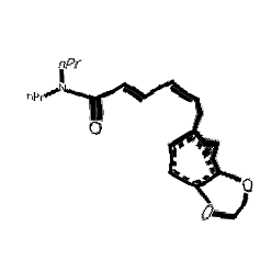 CCCN(CCC)C(=O)/C=C/C=C\c1ccc2c(c1)OCO2